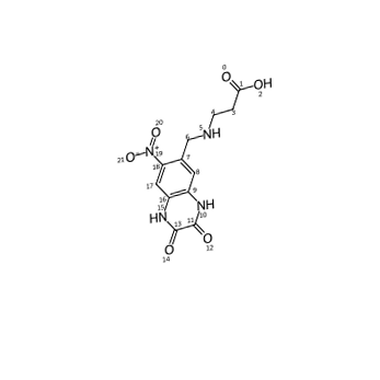 O=C(O)CCNCc1cc2[nH]c(=O)c(=O)[nH]c2cc1[N+](=O)[O-]